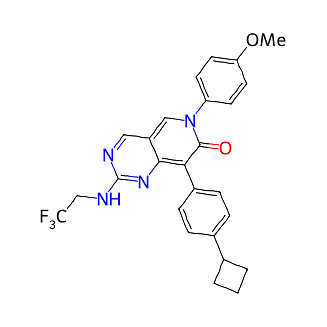 COc1ccc(-n2cc3cnc(NCC(F)(F)F)nc3c(-c3ccc(C4CCC4)cc3)c2=O)cc1